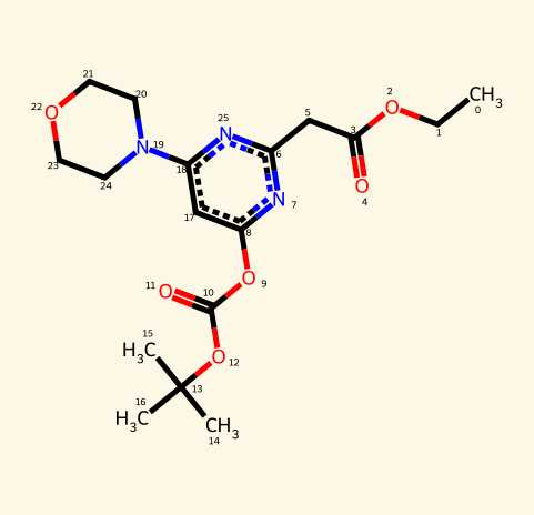 CCOC(=O)Cc1nc(OC(=O)OC(C)(C)C)cc(N2CCOCC2)n1